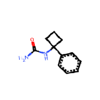 NC(=O)NC1(c2ccccc2)CCC1